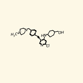 CN1CCN(Cc2ccc(C#Cc3cnc(Cl)cc3NC3CCC(CO)CC3)cc2)CC1